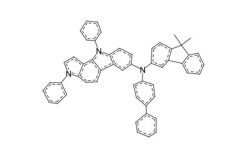 CC1(C)c2ccccc2-c2cc(N(c3ccc(-c4ccccc4)cc3)c3ccc4c(c3)c3ccc5c(ccn5-c5ccccc5)c3n4-c3ccccc3)ccc21